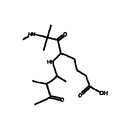 CNC(C)(C)C(=O)C(CCCC(=O)O)NC(C)C(C)C(C)=O